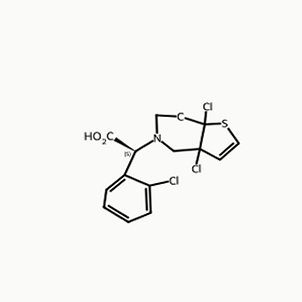 O=C(O)[C@H](c1ccccc1Cl)N1CCC2(Cl)SC=CC2(Cl)C1